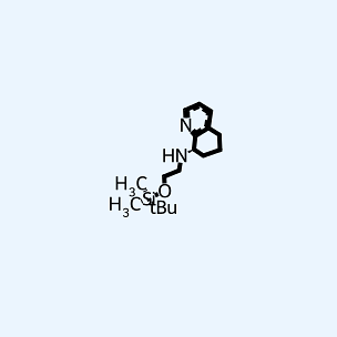 CC(C)(C)[Si](C)(C)OCCN[C@H]1CCCc2cccnc21